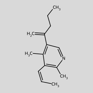 C=C(CCC)c1cnc(C)c(/C=C\C)c1C